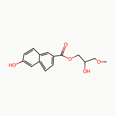 COCC(O)COC(=O)c1ccc2cc(O)ccc2c1